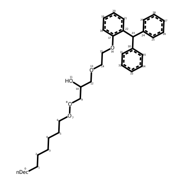 CCCCCCCCCCCCCCCCOOCC(O)COCCOc1ccccc1C(c1ccccc1)c1ccccc1